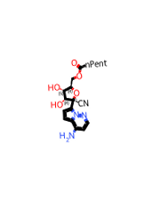 CCCCCC(=O)OC[C@H]1O[C@@](C#N)(c2ccc3c(N)ccnn23)[C@H](O)[C@@H]1O